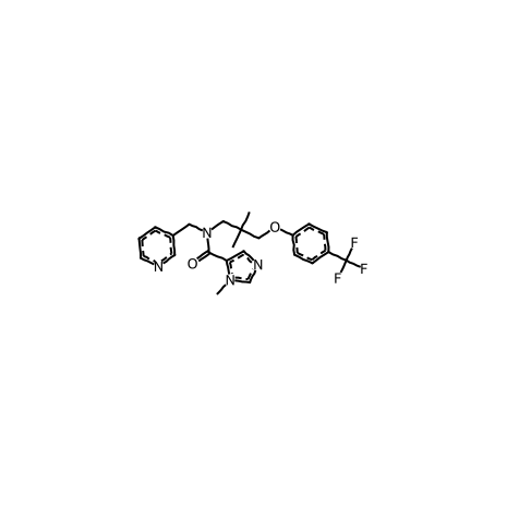 Cn1cncc1C(=O)N(Cc1cccnc1)CC(C)(C)COc1ccc(C(F)(F)F)cc1